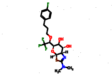 CN(C)C1=N[C@@H]2[C@@H](O)[C@H](O)[C@@H]([C@H](OCCCc3ccc(F)cc3)C(F)(F)F)O[C@@H]2S1